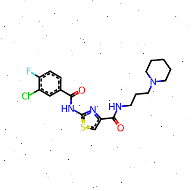 O=C(Nc1nc(C(=O)NCCCN2CCCCC2)cs1)c1ccc(F)c(Cl)c1